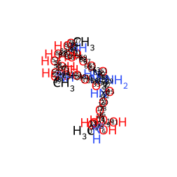 CC(=O)N/C(=C(\O)C(O)CCO)C(O)OCCOCCOCCNC(=O)CCC(N)(CCC(=O)NCCOCCOCCOC(O)/C(NC(C)=O)=C(/O)C(O)CCO)CCC(=O)NCCOCCOCCOC(O)C(NC(C)=O)C(O)C(O)CCO